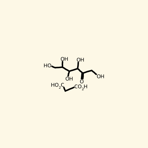 O=C(CO)C(O)C(O)C(O)CO.O=C(O)CC(=O)O